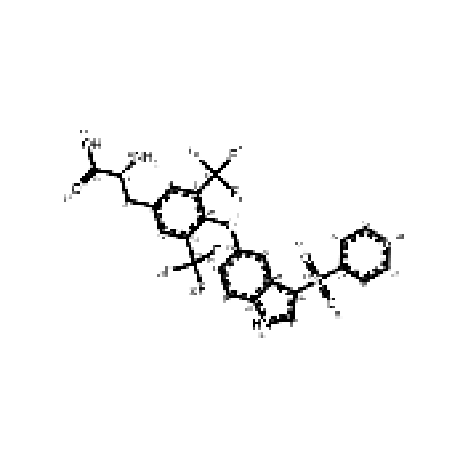 N[C@@H](Cc1cc(C(F)(F)F)c(Oc2ccc3[nH]cc(S(=O)(=O)c4ccncc4)c3c2)c(C(F)(F)F)c1)C(=O)O